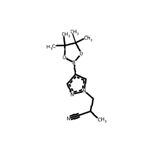 CC(C#N)Cn1cc(B2OC(C)(C)C(C)(C)O2)cn1